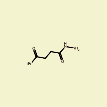 CC(C)C(=O)CCC(=O)NN